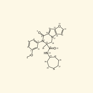 COc1cccc(N2C(=O)c3cc4occc4n3CC2(C)C(=O)NC2CCCCCC2)c1